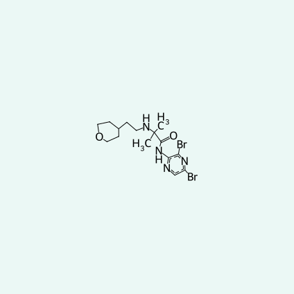 CC(C)(NCCC1CCOCC1)C(=O)Nc1ncc(Br)nc1Br